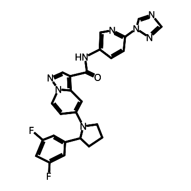 O=C(Nc1ccc(-n2cncn2)nc1)c1cnn2ccc(N3CCCC3c3cc(F)cc(F)c3)cc12